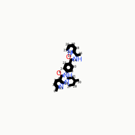 Cc1ccc(C(=O)Nc2ccc(C(=O)NC(C)c3ccccn3)cc2)c(N2CCC(C)CC2)n1